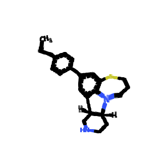 CCc1ccc(-c2cc3c4c(c2)[C@H]2CNCC[C@H]2N4CCCS3)cc1